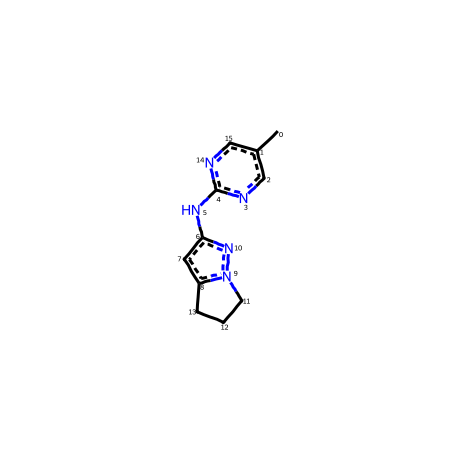 Cc1cnc(Nc2cc3n(n2)CCC3)nc1